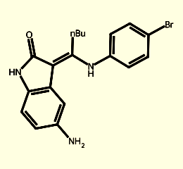 CCCCC(Nc1ccc(Br)cc1)=C1C(=O)Nc2ccc(N)cc21